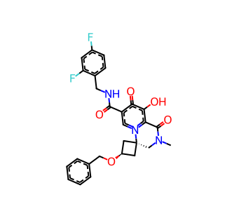 CN1C[C@]2(C[C@H](OCc3ccccc3)C2)n2cc(C(=O)NCc3ccc(F)cc3F)c(=O)c(O)c2C1=O